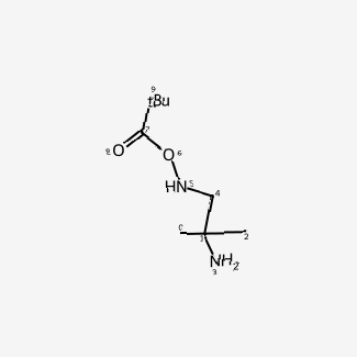 CC(C)(N)CNOC(=O)C(C)(C)C